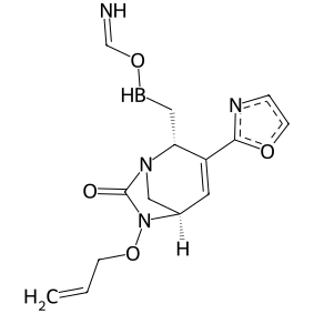 C=CCON1C(=O)N2C[C@H]1C=C(c1ncco1)[C@H]2CBOC=N